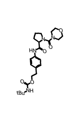 CC(C)(C)NC(=O)OCCc1ccc(NC(=O)C2CCCN2C(=O)N2CCOCC2)cc1